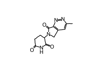 Cc1cc2c(nn1)C(=O)N(C1CCC(=O)NC1=O)C2